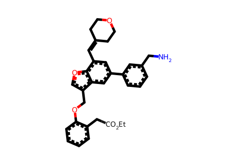 CCOC(=O)Cc1ccccc1OCc1coc2c(C=C3CCOCC3)cc(-c3cccc(CN)c3)cc12